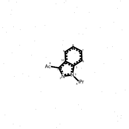 CC(=O)c1nn(C(C)C)c2ccccc12